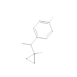 [CH2]C(c1ccc(Cl)cc1)C1(Cl)CC1